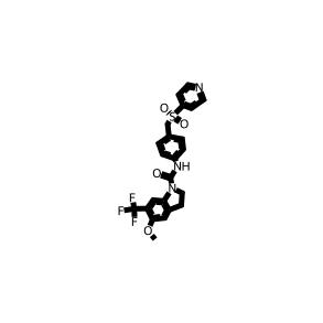 COc1cc2c(cc1C(F)(F)F)N(C(=O)Nc1ccc(CS(=O)(=O)c3ccncc3)cc1)CC2